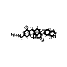 CNCC1CC(=O)C2=C(C1)O[C@@H]1C(=C2)CC[C@]2(C)[C@@H](c3ccc4ccncc4c3)C(=O)C[C@@H]12